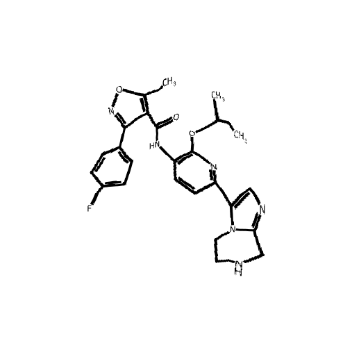 Cc1onc(-c2ccc(F)cc2)c1C(=O)Nc1ccc(-c2cnc3n2CCNC3)nc1OC(C)C